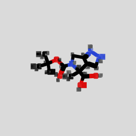 CC(C)(C)OC(=O)N1Cc2n[nH]cc2C1(C)C(=O)O